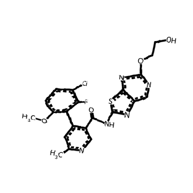 COc1ccc(Cl)c(F)c1-c1cc(C)ncc1C(=O)Nc1nc2cnc(OCCO)nc2s1